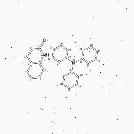 O=c1cnc2ccccc2[nH]1.c1ccc(N(c2ccccc2)c2ccccc2)cc1